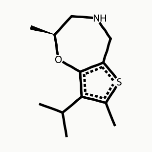 Cc1sc2c(c1C(C)C)O[C@@H](C)CNC2